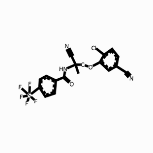 CC(C#N)(COc1cc(C#N)ccc1Cl)NC(=O)c1ccc(S(F)(F)(F)(F)F)cc1